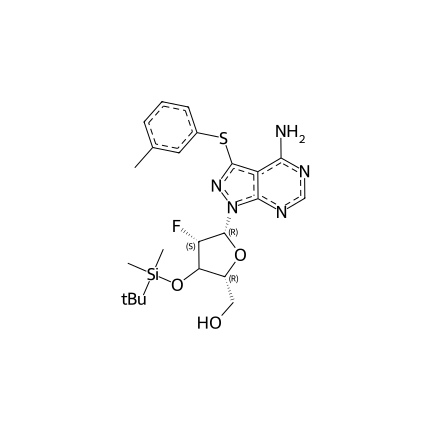 Cc1cccc(Sc2nn([C@@H]3O[C@H](CO)C(O[Si](C)(C)C(C)(C)C)[C@@H]3F)c3ncnc(N)c23)c1